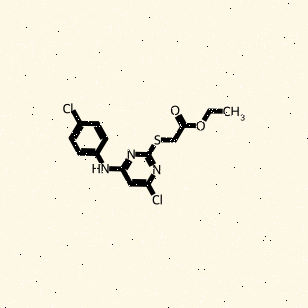 CCOC(=O)CSc1nc(Cl)cc(Nc2ccc(Cl)cc2)n1